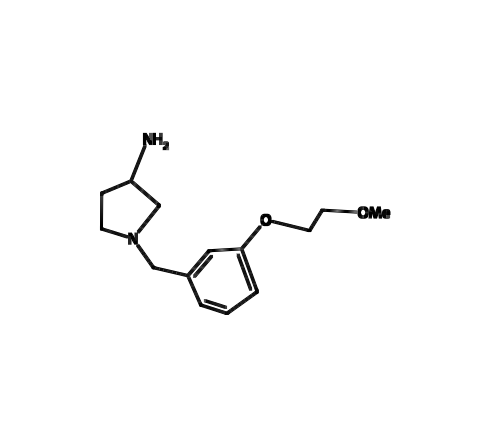 COCCOc1cccc(CN2CCC(N)C2)c1